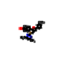 COc1cccc(-c2cc(CSc3nc(C)cc(C)n3)c(-c3ccc(C(C)(C)O)cc3)o2)c1